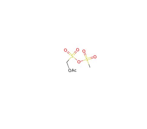 CC(=O)OCS(=O)(=O)OS(C)(=O)=O